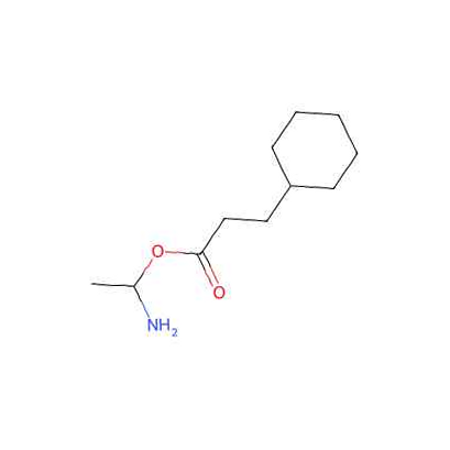 CC(N)OC(=O)CCC1CCCCC1